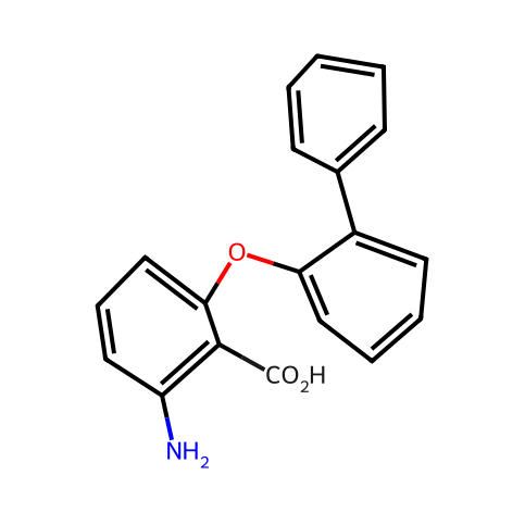 Nc1cccc(Oc2ccccc2-c2ccccc2)c1C(=O)O